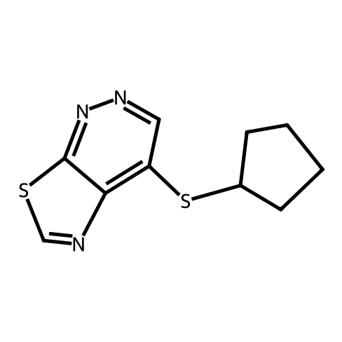 c1nc2c(SC3CCCC3)cnnc2s1